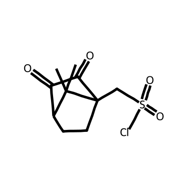 CC1(C)C2CCC1(CS(=O)(=O)Cl)C(=O)C2=O